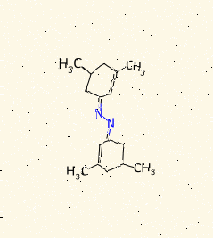 CC1=C/C(=N\N=C2/C=C(C)CC(C)C2)CC(C)C1